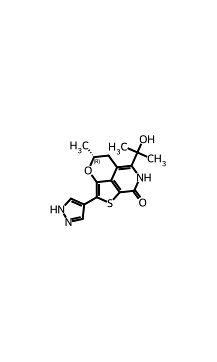 C[C@@H]1Cc2c(C(C)(C)O)[nH]c(=O)c3sc(-c4cn[nH]c4)c(c23)O1